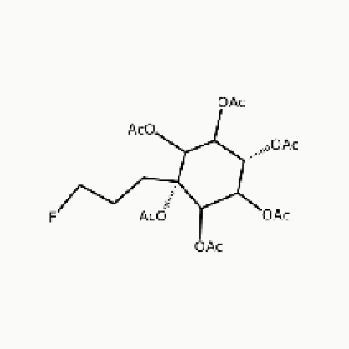 CC(=O)OC1C(OC(C)=O)[C@](CCCF)(OC(C)=O)C(OC(C)=O)C(OC(C)=O)[C@@H]1OC(C)=O